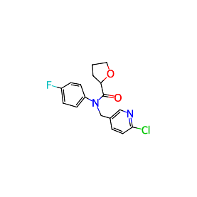 O=C(C1CCCO1)N(Cc1ccc(Cl)nc1)c1ccc(F)cc1